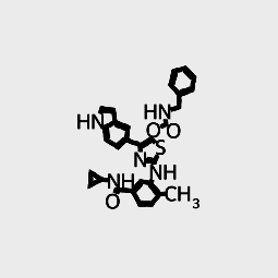 Cc1ccc(C(=O)NC2CC2)cc1Nc1nc(-c2ccc3[nH]ccc3c2)c(OC(=O)NCc2ccccc2)s1